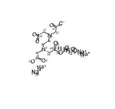 O.O.O.O=C([O-])CN(CCN(CC(=O)[O-])CC(=O)[O-])CC(=O)[O-].[Na+].[Na+].[Na+].[Na+]